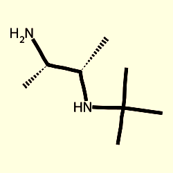 C[C@H](N)[C@H](C)NC(C)(C)C